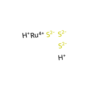 [H+].[H+].[Ru+4].[S-2].[S-2].[S-2]